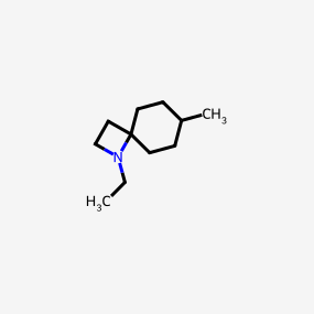 CCN1CCC12CCC(C)CC2